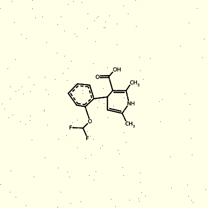 CC1=CC(c2ccccc2OC(F)F)C(C(=O)O)=C(C)N1